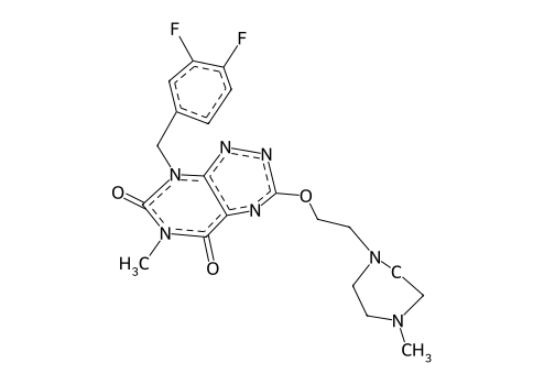 CN1CCN(CCOc2nnc3c(n2)c(=O)n(C)c(=O)n3Cc2ccc(F)c(F)c2)CC1